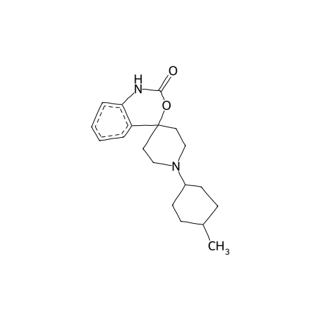 CC1CCC(N2CCC3(CC2)OC(=O)Nc2ccccc23)CC1